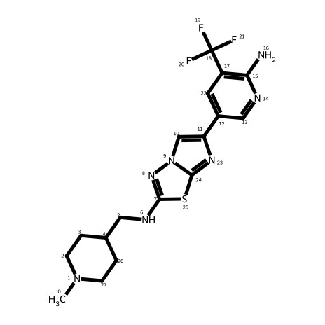 CN1CCC(CNc2nn3cc(-c4cnc(N)c(C(F)(F)F)c4)nc3s2)CC1